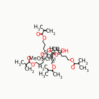 C=C(C)C(=C)OCCC[Si@](C)(O[Si](C)(O)CCCOC(=O)C(=C)C)O[Si](C)(CCCOC(=O)C(=C)C)O[Si](C)(CCCOC(=O)C(=C)C)OC